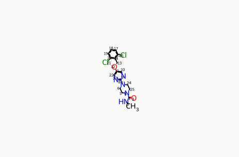 CNC(=O)N1CCN(c2ncc(OCc3c(Cl)cccc3Cl)cn2)CC1